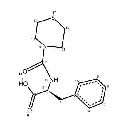 O=C(O)[C@H](Cc1ccccc1)NC(=O)N1CCSCC1